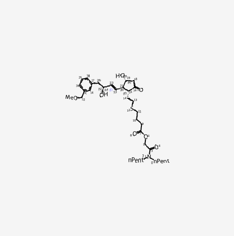 CCCCCN(CCCCC)C(=O)COC(=O)CCCSCC[C@H]1C(=O)C[C@@H](O)[C@@H]1/C=C/[C@@H](O)Cc1cccc(COC)c1